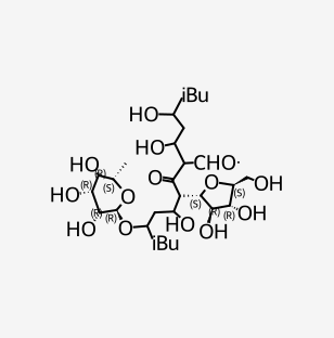 CCC(C)C(O)CC(O)C([C]=O)C(=O)C(C(O)CC(O[C@@H]1O[C@@H](C)[C@H](O)[C@@H](O)[C@H]1O)C(C)CC)[C@@H]1O[C@@H](CO)[C@H](O)[C@H]1O